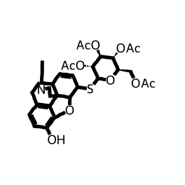 CC(=O)OC[C@H]1OC(SC2C=CC3C4Cc5ccc(O)c6c5C3(CCN4C)C2O6)[C@H](OC(C)=O)[C@@H](OC(C)=O)[C@@H]1OC(C)=O